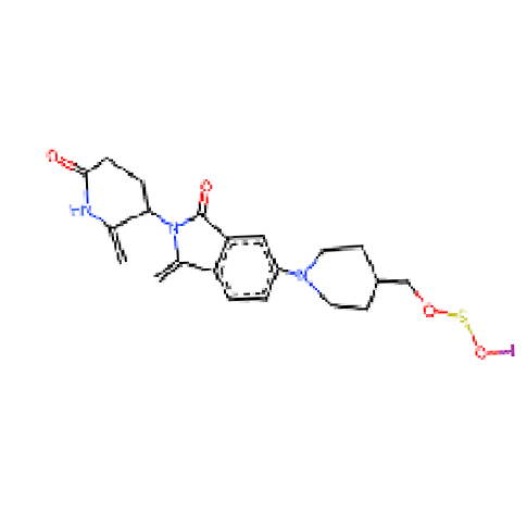 C=C1NC(=O)CCC1N1C(=C)c2ccc(N3CCC(COSOI)CC3)cc2C1=O